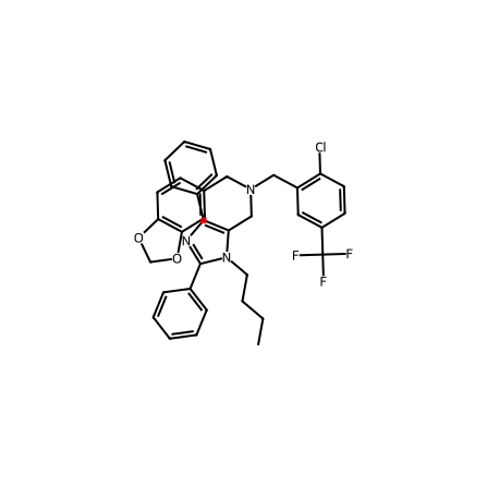 CCCCn1c(-c2ccccc2)nc(-c2ccccc2)c1CN(Cc1ccc2c(c1)OCO2)Cc1cc(C(F)(F)F)ccc1Cl